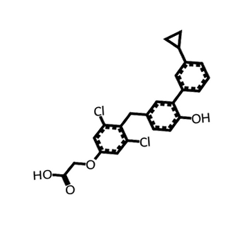 O=C(O)COc1cc(Cl)c(Cc2ccc(O)c(-c3cccc(C4CC4)c3)c2)c(Cl)c1